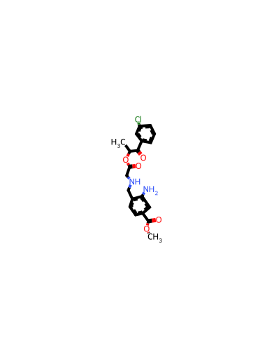 COC(=O)c1ccc(CNCC(=O)OC(C)C(=O)c2cccc(Cl)c2)c(N)c1